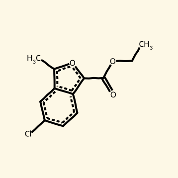 CCOC(=O)c1oc(C)c2cc(Cl)ccc12